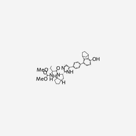 COC(=O)N[C@H](C(=O)N1[C@H](c2ncc(-c3ccc(-c4ccc(O)c5c4C4CCC5C4)cc3)[nH]2)C[C@@H]2CCC[C@@H]21)[C@@H](C)OC